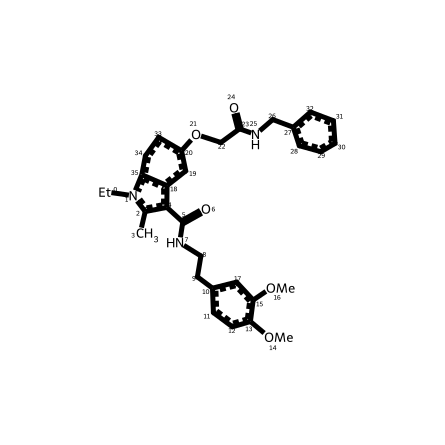 CCn1c(C)c(C(=O)NCCc2ccc(OC)c(OC)c2)c2cc(OCC(=O)NCc3ccccc3)ccc21